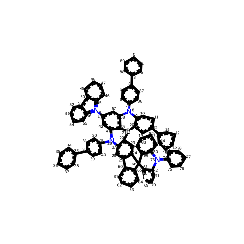 c1ccc(-c2ccc(N3c4ccc(-c5ccccc5)cc4B4c5cc6c(cc5N(c5ccc(-c7ccccc7)cc5)c5cc(-n7c8ccccc8c8ccccc87)cc3c54)-c3ccccc3C63c4ccccc4N(c4ccccc4)c4ccccc43)cc2)cc1